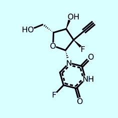 C#C[C@@]1(F)[C@H](O)[C@@H](CO)O[C@H]1n1cc(F)c(=O)[nH]c1=O